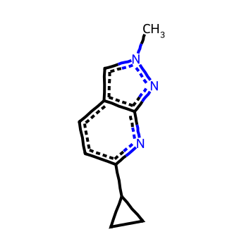 Cn1cc2ccc(C3CC3)nc2n1